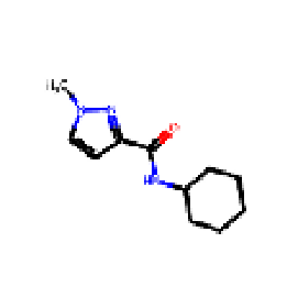 Cn1ccc(C(=O)NC2CCCCC2)n1